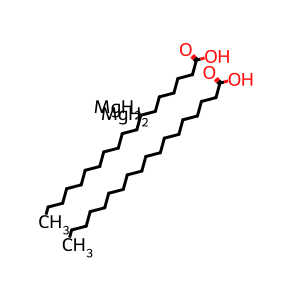 CCCCCCCCCCCCCCCCCC(=O)O.CCCCCCCCCCCCCCCCCC(=O)O.[MgH2].[MgH2]